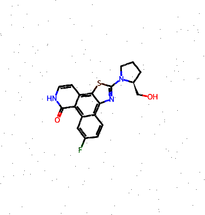 O=c1[nH]ccc2c3sc(N4CCC[C@H]4CO)nc3c3ccc(F)cc3c12